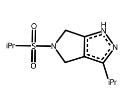 CC(C)c1n[nH]c2c1CN(S(=O)(=O)C(C)C)C2